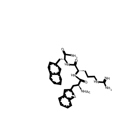 CC(=O)N[C@@H](Cc1cc2ccccc2s1)C(=O)N[C@@H](CCCNC(=N)N)C(=O)N[C@H](Cc1ccc2ccccc2c1)C(N)=O